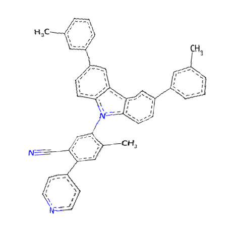 Cc1cccc(-c2ccc3c(c2)c2cc(-c4cccc(C)c4)ccc2n3-c2cc(C#N)c(-c3ccncc3)cc2C)c1